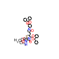 CC(C)(C)OC(=O)N[C@@H]1C(=O)N2C(C(=O)OC(c3ccccc3)c3ccccc3)=C(/C=C3\CCN(c4ccc5c(c4)OC(c4ccccc4)(c4ccccc4)O5)C3=O)CS[C@H]12